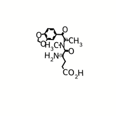 C[C@H](C(=O)c1ccc2c(c1)OCO2)N(C)C(=O)[C@@H](N)CCC(=O)O